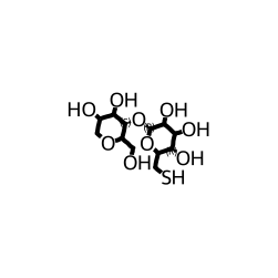 OCC1OCC(O)C(O)[C@@H]1O[C@@H]1OC(CS)[C@H](O)C(O)C1O